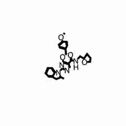 COc1ccc(COc2nc(N3c4ccccc4CC3C)ncc2C(=O)NCC2CCCO2)cc1